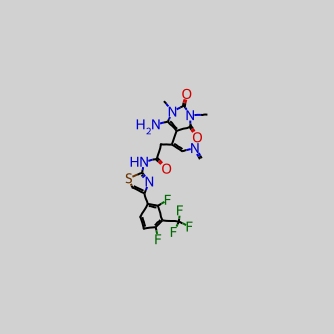 C=N/C=C(/CC(=O)Nc1nc(-c2ccc(F)c(C(F)(F)F)c2F)cs1)c1c(N)n(C)c(=O)n(C)c1=O